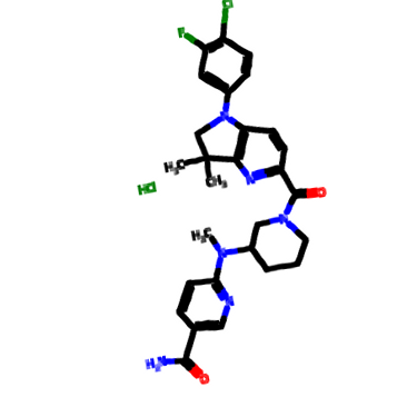 CN(c1ccc(C(N)=O)cn1)C1CCCN(C(=O)c2ccc3c(n2)C(C)(C)CN3c2ccc(Cl)c(F)c2)C1.Cl